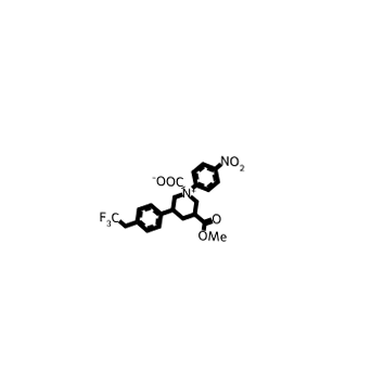 COC(=O)C1CC(c2ccc(CC(F)(F)F)cc2)C[N+](C(=O)[O-])(c2ccc([N+](=O)[O-])cc2)C1